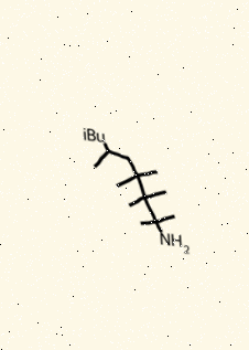 CCC(C)C(C)CC(C)(C)C(C)(C)C(C)(C)N